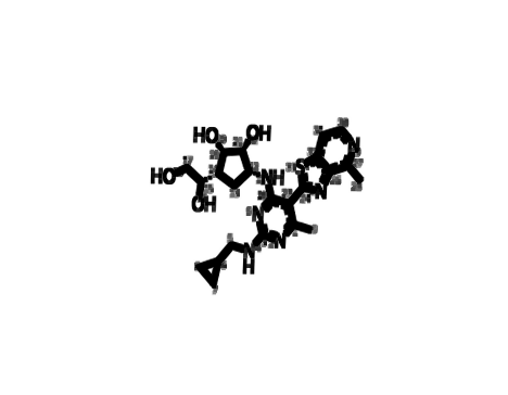 Cc1nc(NCC2CC2)nc(N[C@@H]2C[C@H](C(O)CO)[C@@H](O)[C@H]2O)c1-c1nc2c(C)nccc2s1